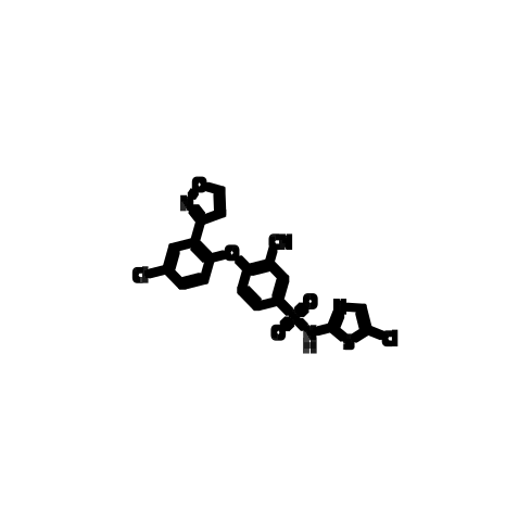 N#Cc1cc(S(=O)(=O)Nc2ncc(Cl)s2)ccc1Oc1ccc(Cl)cc1-c1ccon1